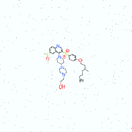 CC(C)CCCC(C)CCOc1ccc(S(=O)(=O)c2cnc3ccc([S+](C)[O-])cc3c2N2CCC(N3CCN(CCO)CC3)CC2)cc1